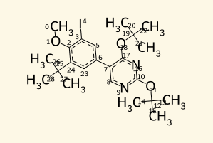 COc1c(I)cc(-c2cnc(OC(C)(C)C)nc2OC(C)(C)C)cc1C(C)(C)C